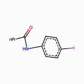 CCCC(=O)Nc1ccc(I)cc1